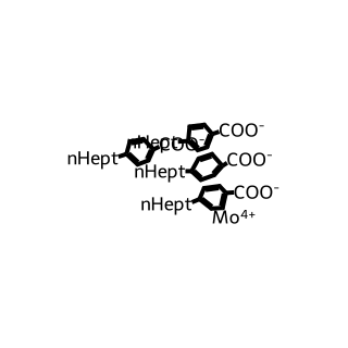 CCCCCCCc1ccc(C(=O)[O-])cc1.CCCCCCCc1ccc(C(=O)[O-])cc1.CCCCCCCc1ccc(C(=O)[O-])cc1.CCCCCCCc1ccc(C(=O)[O-])cc1.[Mo+4]